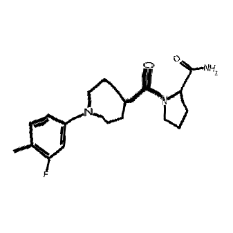 Cc1ccc(N2CCC(C(=O)N3CCCC3C(N)=O)CC2)cc1F